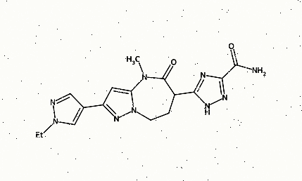 CCn1cc(-c2cc3n(n2)CCC(c2nc(C(N)=O)n[nH]2)C(=O)N3C)cn1